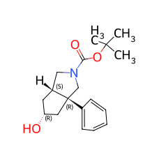 CC(C)(C)OC(=O)N1C[C@H]2C[C@@H](O)C[C@@]2(c2ccccc2)C1